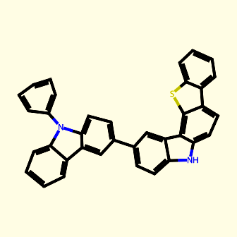 c1ccc(-n2c3ccccc3c3cc(-c4ccc5[nH]c6ccc7c8ccccc8sc7c6c5c4)ccc32)cc1